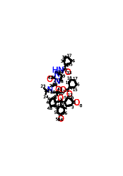 COc1ccc(C(OC[C@@]2(COC(=O)c3ccccc3)CN(C(C)C)C[C@H](n3ccc(NC(=O)c4ccccc4)nc3=O)O2)(c2ccccc2)c2ccc(OC)cc2)cc1